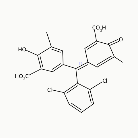 CC1=C/C(=C(/c2cc(C)c(O)c(C(=O)O)c2)c2c(Cl)cccc2Cl)C=C(C(=O)O)C1=O